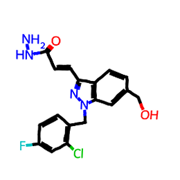 NNC(=O)C=Cc1nn(Cc2ccc(F)cc2Cl)c2cc(CO)ccc12